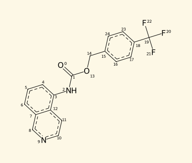 O=C(Nc1cccc2cnccc12)OCc1ccc(C(F)(F)F)cc1